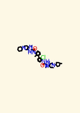 Cc1c(NC(=O)c2nc3c(n2C)CCN(C2CCCCC2)C3)cccc1-c1cccc(NC(=O)c2nc3c(n2C)CCN(C2CCC(C)CC2)C3)c1Cl